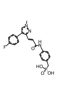 Cn1cc(-c2ccc(F)cc2)c(/C=C/C(=O)Nc2ccc(CP(=O)(O)O)cc2)n1